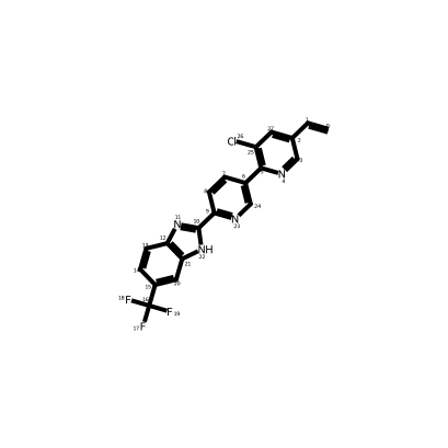 C=Cc1cnc(-c2ccc(-c3nc4ccc(C(F)(F)F)cc4[nH]3)nc2)c(Cl)c1